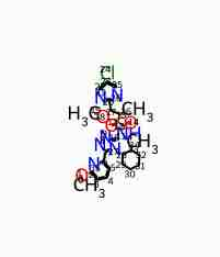 COc1cccc(-c2nnc(NS(=O)(=O)[C@@H](C)[C@H](OC)c3ncc(Cl)cn3)n2[C@H]2CCCC[C@@H]2C)n1